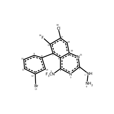 NNc1nc(NC(F)(F)F)c2c(-c3cccc(Br)c3)c(F)c(Cl)cc2n1